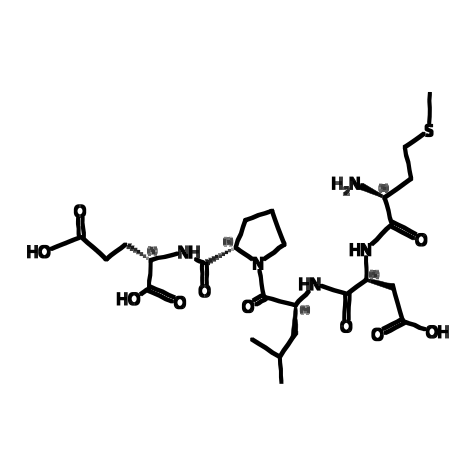 CSCC[C@H](N)C(=O)N[C@@H](CC(=O)O)C(=O)N[C@@H](CC(C)C)C(=O)N1CCC[C@H]1C(=O)N[C@@H](CCC(=O)O)C(=O)O